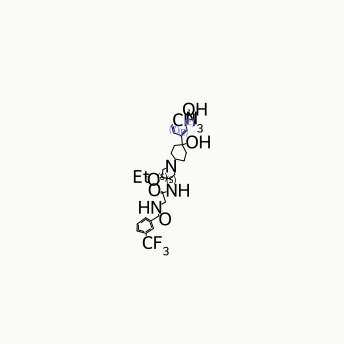 C\C=C/C(=C\C=N\O)C1(O)CCC(N2C[C@H](NC(=O)CNC(=O)c3cccc(C(F)(F)F)c3)[C@@H](OCC)C2)CC1